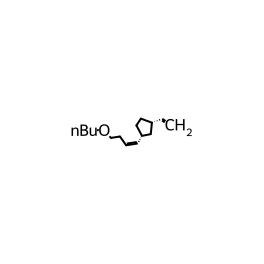 C=C[C@H]1CC[C@@H](/C=C\CCOCCCC)C1